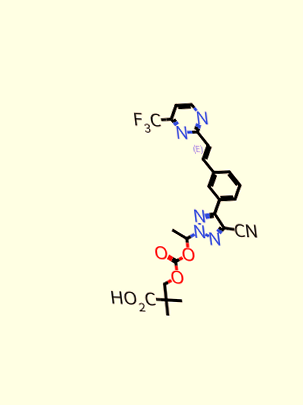 CC(OC(=O)OCC(C)(C)C(=O)O)n1nc(C#N)c(-c2cccc(/C=C/c3nccc(C(F)(F)F)n3)c2)n1